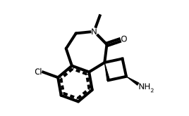 CN1CCc2c(Cl)cccc2[C@]2(C[C@H](N)C2)C1=O